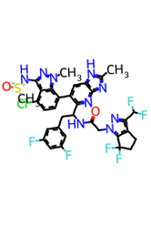 Cc1nc2nc(C(Cc3cc(F)cc(F)c3)NC(=O)Cn3nc(C(F)F)c4c3C(F)(F)CC4)c(-c3ccc(Cl)c4c(N[S+](C)[O-])nn(C)c34)cc2[nH]1